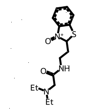 CCN(CC)CC(=O)NCCC1Sc2ccccc2[N+]1=O